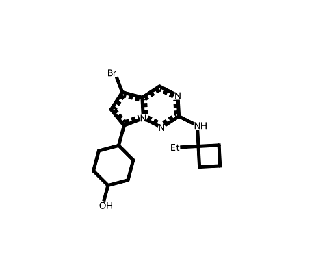 CCC1(Nc2ncc3c(Br)cc(C4CCC(O)CC4)n3n2)CCC1